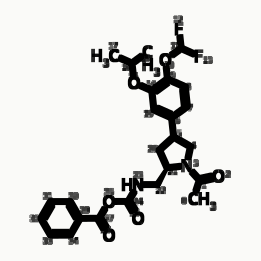 CC(=O)N1CC(c2ccc(OC(F)F)c(OC(C)C)c2)C[C@@H]1CNC(=O)OC(=O)c1ccccc1